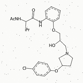 CC(=O)NC(C(=O)Nc1ccccc1OCC(O)CN1CCC(Oc2ccc(Cl)cc2)C1)C(C)C